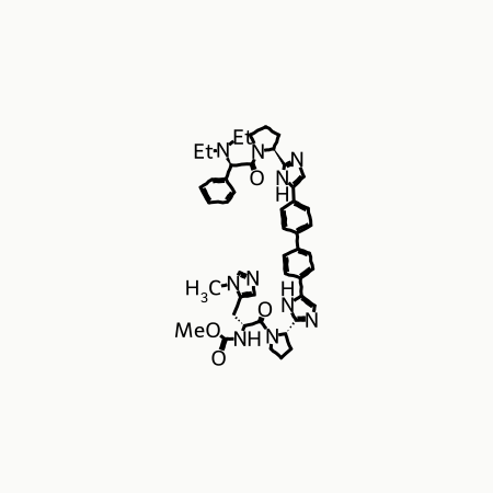 CCN(CC)[C@@H](C(=O)N1CCC[C@H]1c1ncc(-c2ccc(-c3ccc(-c4cnc([C@@H]5CCCN5C(=O)[C@@H](Cc5cncn5C)NC(=O)OC)[nH]4)cc3)cc2)[nH]1)c1ccccc1